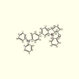 c1ccc(N(c2ccccc2)c2ccc(-c3ccc4c5cccc6c5n(c4c3)-c3ccccc3O6)cc2)cc1